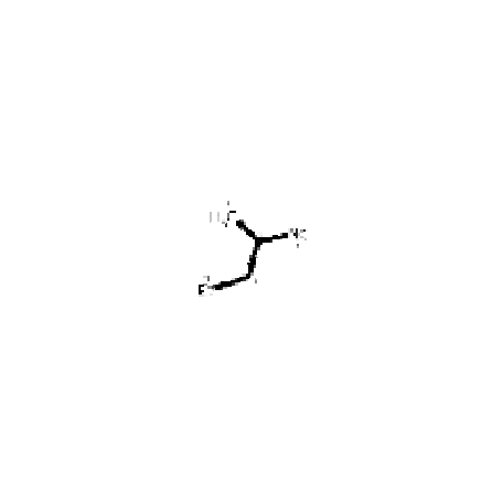 [C-]#[N+]C(C)CCC